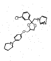 Clc1cccc(C2(Cn3ccnc3)OCC(COc3ccc(N4CCCC4)cc3)O2)c1